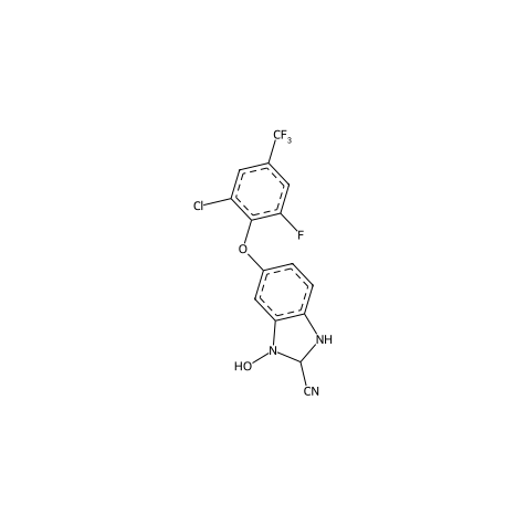 N#CC1Nc2ccc(Oc3c(F)cc(C(F)(F)F)cc3Cl)cc2N1O